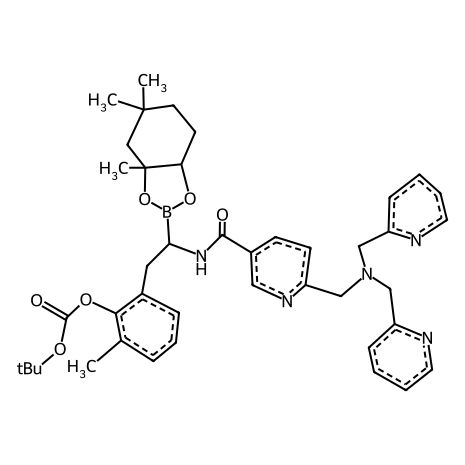 Cc1cccc(CC(NC(=O)c2ccc(CN(Cc3ccccn3)Cc3ccccn3)nc2)B2OC3CCC(C)(C)CC3(C)O2)c1OC(=O)OC(C)(C)C